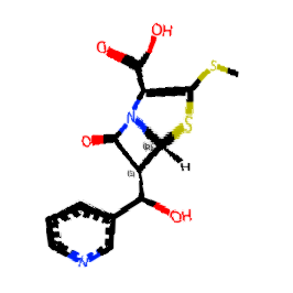 CSC1=C(C(=O)O)N2C(=O)[C@H](C(O)c3cccnc3)[C@H]2S1